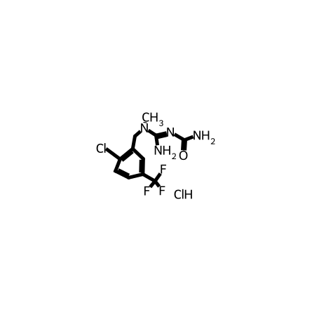 CN(Cc1cc(C(F)(F)F)ccc1Cl)C(N)=NC(N)=O.Cl